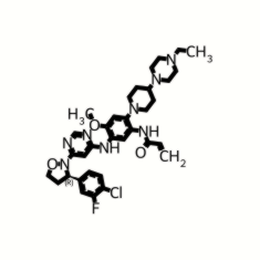 C=CC(=O)Nc1cc(Nc2cc(N3OCC[C@@H]3c3ccc(Cl)c(F)c3)ncn2)c(OC)cc1N1CCC(N2CCN(CC)CC2)CC1